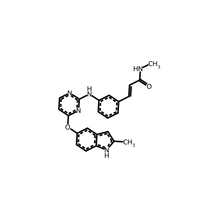 CNC(=O)/C=C/c1cccc(Nc2nccc(Oc3ccc4[nH]c(C)cc4c3)n2)c1